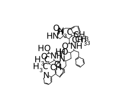 Cc1cccc(CN2C(=O)NCC2C(C(=O)NC(Cc2ccccc2)C(O)CC(Cc2ccc(-c3ccccn3)cc2)NC(=O)C(NC(=O)O)C(C)(C)C)C(C)(C)C)c1